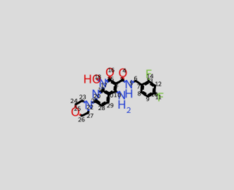 Nc1c(C(=O)NCc2ccc(F)cc2F)c(=O)n(O)c2nc(N3CCOCC3)ccc12